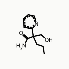 CCCC(CO)(C(N)=O)c1ccccn1